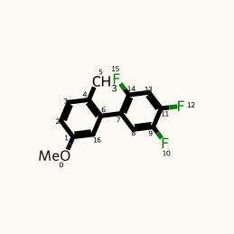 COc1ccc(C)c(-c2cc(F)c(F)cc2F)c1